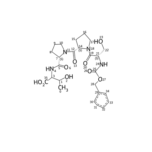 CC(O)C(NC(=O)[C@@H]1CCCN1C(=O)[C@@H]1CCCN1C(=O)[C@H](CO)NC(=O)OCc1ccccc1)C(=O)O